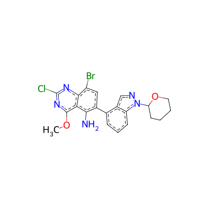 COc1nc(Cl)nc2c(Br)cc(-c3cccc4c3cnn4C3CCCCO3)c(N)c12